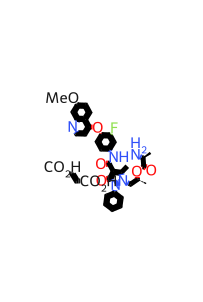 COc1ccc2c(Oc3ccc(NC(=O)c4c(C)n(C[C@@H](C)OC(=O)[C@H](C)N)n(-c5ccccc5)c4=O)cc3F)ccnc2c1.O=C(O)/C=C\C(=O)O